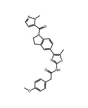 COc1ccc(CC(=O)Nc2nc(-c3ccc4c(c3)CCN4C(=O)c3ccnn3C)c(C)s2)cc1